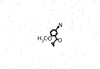 COc1ccc(C#N)cc1C(=O)C1CC1